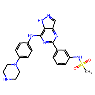 CS(=O)(=O)Nc1cccc(-c2nc(Nc3ccc(N4CCNCC4)cc3)c3[nH]ncc3n2)c1